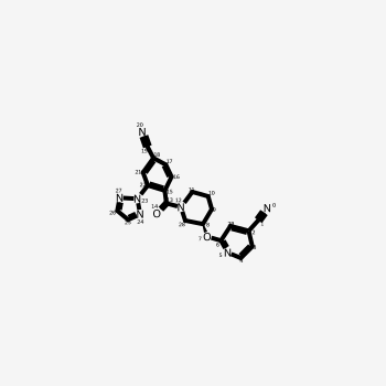 N#Cc1ccnc(O[C@@H]2CCCN(C(=O)c3ccc(C#N)cc3-n3nccn3)C2)c1